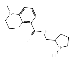 CCN1CCCC1CNC(=O)c1cccc2c1OCCN2C